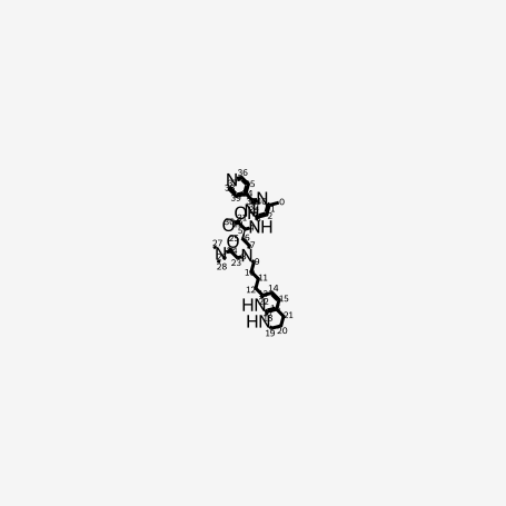 Cc1cc(N[C@@H](CCN(CCCCC2C=CC3=C(NCCC3)N2)CC(=O)N(C)C)C(=O)O)nc(-c2ccncc2)n1